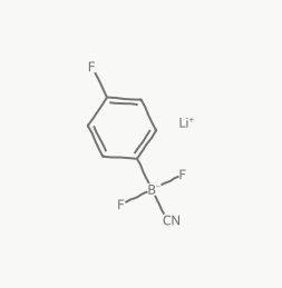 N#C[B-](F)(F)c1ccc(F)cc1.[Li+]